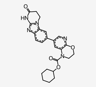 O=C1CCn2c(nc3ccc(-c4cnc5c(c4)N(C(=O)OC4CCCCC4)CCO5)cc32)N1